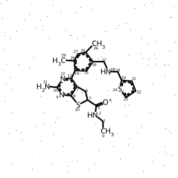 CCNC(=O)C1Cc2c(nc(N)nc2-c2cc(CNCc3cccs3)c(C)cc2C)S1